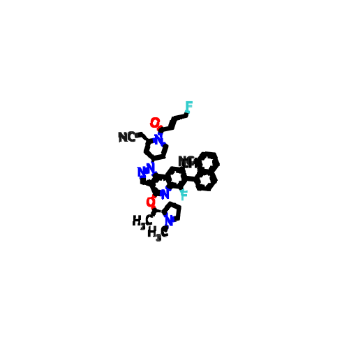 Cc1cc2c(nc(OC(C)[C@@H]3CCCN3C)c3cnn([C@H]4CCN(C(=O)/C=C/CF)[C@H](CC#N)C4)c32)c(F)c1-c1cccc2cccc(C#N)c12